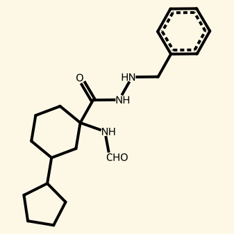 O=CNC1(C(=O)NNCc2ccccc2)CCCC(C2CCCC2)C1